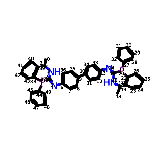 CC(C)N/C(=N\c1ccc(-c2ccc(/N=C(\NC(C)C)P(c3ccccc3)c3ccccc3)cc2)cc1)P(c1ccccc1)c1ccccc1